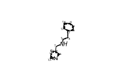 c1ccc(CCNCc2cncs2)cc1